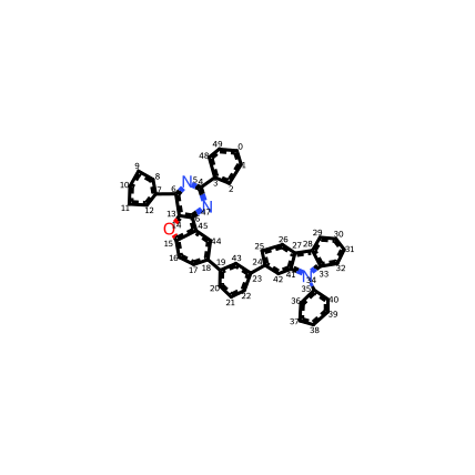 c1ccc(-c2nc(-c3ccccc3)c3oc4ccc(-c5cccc(-c6ccc7c8ccccc8n(-c8ccccc8)c7c6)c5)cc4c3n2)cc1